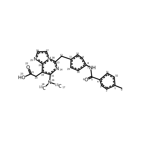 Cc1ccc(C(=O)Nc2ccc(Cc3nc(N([13CH3])[13CH3])c(CC(=O)O)c4nccn34)cc2)cc1